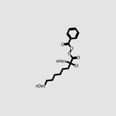 CCCCCCCCCCCCCCCCC(CC)(CCCCCC)C(=O)OOC(=O)c1ccccc1